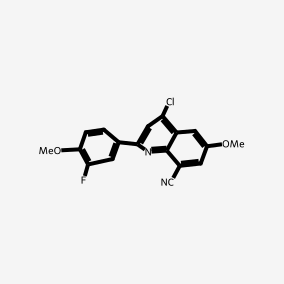 COc1cc(C#N)c2nc(-c3ccc(OC)c(F)c3)cc(Cl)c2c1